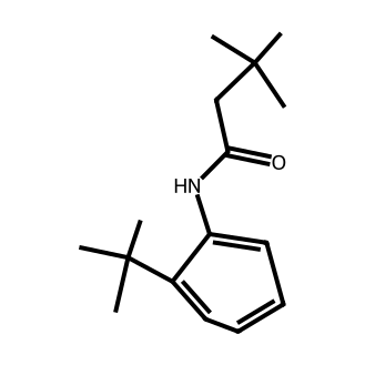 CC(C)(C)CC(=O)Nc1ccccc1C(C)(C)C